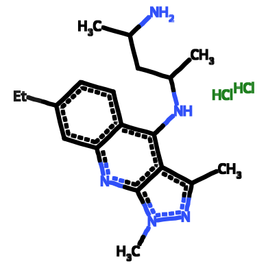 CCc1ccc2c(NC(C)CC(C)N)c3c(C)nn(C)c3nc2c1.Cl.Cl